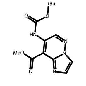 COC(=O)c1c(NC(=O)OC(C)(C)C)cnn2ccnc12